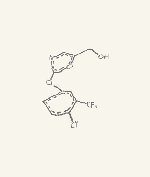 OCc1cnc(Oc2ccc(Cl)c(C(F)(F)F)c2)o1